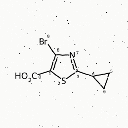 O=C(O)c1sc(C2CC2)nc1Br